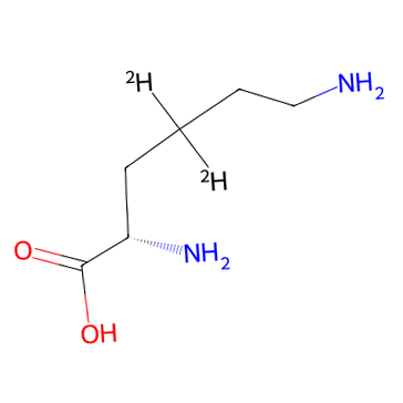 [2H]C([2H])(CCN)C[C@H](N)C(=O)O